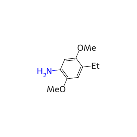 CCc1cc(OC)c(N)cc1OC